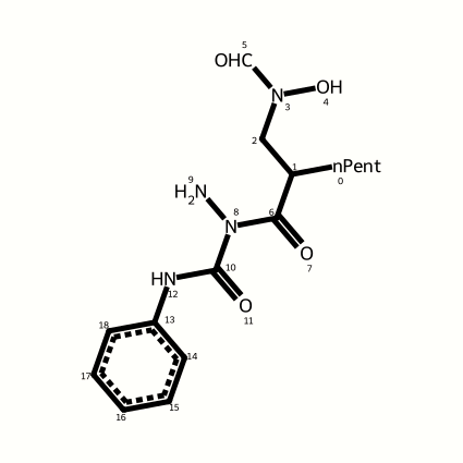 CCCCCC(CN(O)C=O)C(=O)N(N)C(=O)Nc1ccccc1